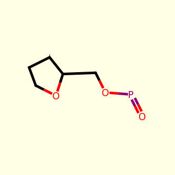 O=POCC1[CH]CCO1